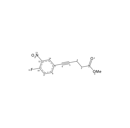 COC(=O)CCC#Cc1ccc(F)c([N+](=O)[O-])c1